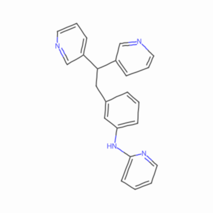 c1ccc(Nc2cccc(CC(c3cccnc3)c3cccnc3)c2)nc1